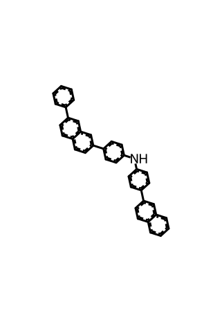 c1ccc(-c2ccc3ccc(-c4ccc(Nc5ccc(-c6ccc7ccccc7c6)cc5)cc4)cc3c2)cc1